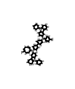 FC1=C/CC#CC(N(c2ccc(-c3ccc(N(c4ccc(F)cc4)c4ccc5c(c4)c4ccccc4n5C4CC=CCC4)cc3)cc2)c2ccc3c(c2)c2c(n3-c3ccccc3)CCC=C2)/C=C\1